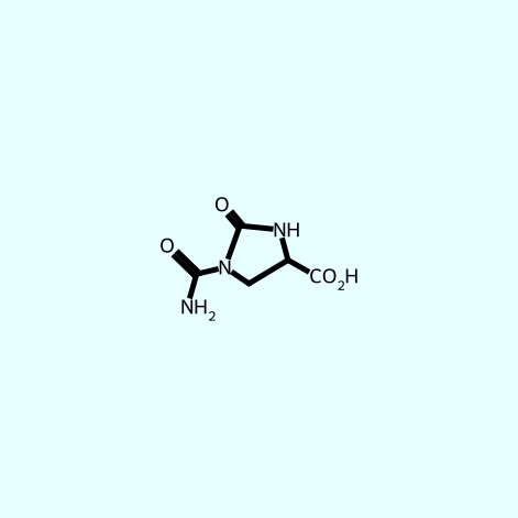 NC(=O)N1CC(C(=O)O)NC1=O